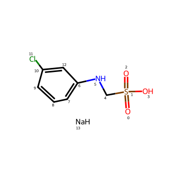 O=S(=O)(O)CNc1cccc(Cl)c1.[NaH]